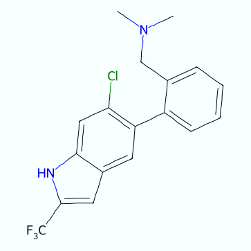 CN(C)Cc1ccccc1-c1cc2cc(C(F)(F)F)[nH]c2cc1Cl